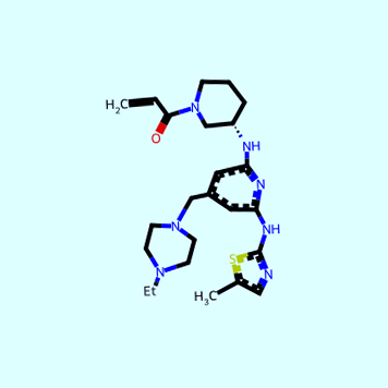 C=CC(=O)N1CCC[C@H](Nc2cc(CN3CCN(CC)CC3)cc(Nc3ncc(C)s3)n2)C1